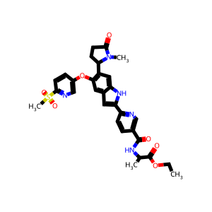 CCOC(=O)C(C)NC(=O)c1ccc(-c2cc3cc(Oc4ccc(S(C)(=O)=O)nc4)c(C4CCC(=O)N4C)cc3[nH]2)nc1